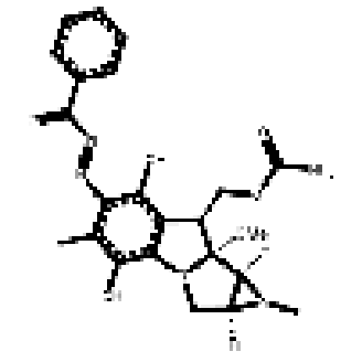 CO[C@@]12[C@H](COC(N)=O)c3c(O)c(N=NC(=O)c4ccccc4)c(C)c(O)c3N1C[C@H]1[C@@H]2N1C